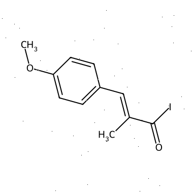 COc1ccc(/C=C(\C)C(=O)I)cc1